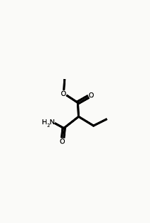 CCC(C(N)=O)C(=O)OC